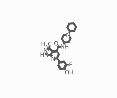 Cc1n[nH]c2nc(-c3ccc(O)c(F)c3)cc(C(=O)NC3CCN(C4CCCCC4)CC3)c12